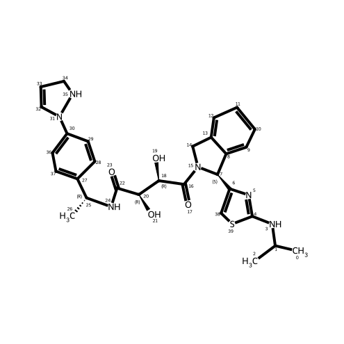 CC(C)Nc1nc([C@@H]2c3ccccc3CN2C(=O)[C@H](O)[C@@H](O)C(=O)N[C@H](C)c2ccc(N3C=CCN3)cc2)cs1